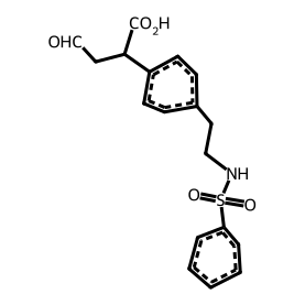 O=CCC(C(=O)O)c1ccc(CCNS(=O)(=O)c2ccccc2)cc1